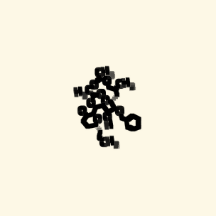 C=CC[C@@H]1CCC(=O)[C@@H]([C@@H](OC(C)=O)[C@@H]2O[C@H](CC(=C)COC(C)=O)[C@H](OCc3ccccc3)[C@@H]2O)O1